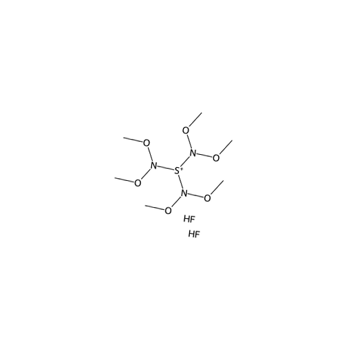 CON(OC)[S+](N(OC)OC)N(OC)OC.F.F